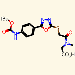 CN(CC(=O)O)C(=O)CSc1nnc(-c2ccc(NC(=O)OC(C)(C)C)cc2)o1